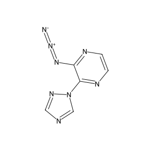 [N-]=[N+]=Nc1nccnc1-n1cncn1